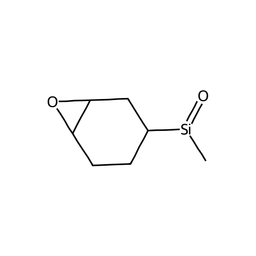 C[Si](=O)C1CCC2OC2C1